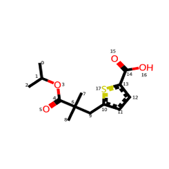 CC(C)OC(=O)C(C)(C)Cc1ccc(C(=O)O)s1